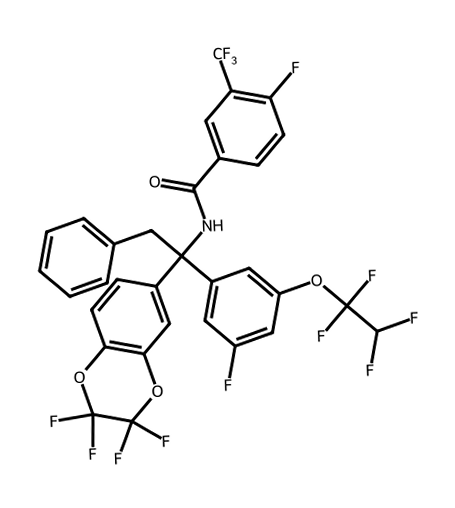 O=C(NC(Cc1ccccc1)(c1cc(F)cc(OC(F)(F)C(F)F)c1)c1ccc2c(c1)OC(F)(F)C(F)(F)O2)c1ccc(F)c(C(F)(F)F)c1